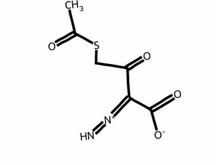 CC(=O)SCC(=O)C(=[N+]=N)C(=O)[O-]